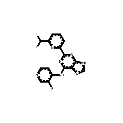 Fc1cnccc1Nc1nc(-c2cccc(C(F)F)n2)nc2[nH]cnc12